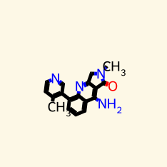 Cc1ccncc1-c1cccc2c(N)c3c(nc12)CN(C)C3=O